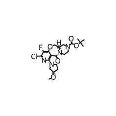 CO[C@H]1CCN(c2nc(Cl)c(F)c3c2C(=O)N2CCN(C(=O)OC(C)(C)C)C[C@@H]2CO3)C1